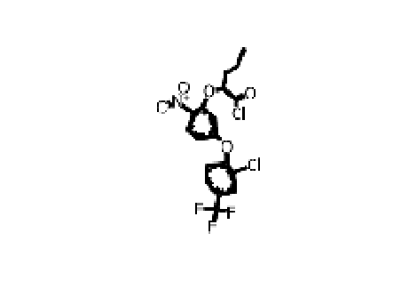 CCCC(Oc1cc(Oc2ccc(C(F)(F)F)cc2Cl)ccc1[N+](=O)[O-])C(=O)Cl